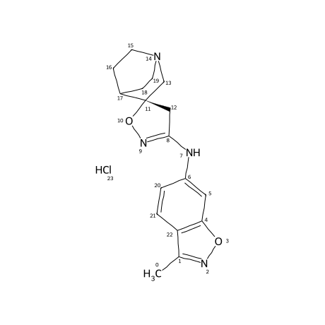 Cc1noc2cc(NC3=NO[C@@]4(C3)CN3CCC4CC3)ccc12.Cl